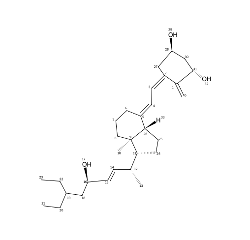 C=C1/C(=C\C=C2/CCC[C@]3(C)[C@@H]([C@H](C)/C=C/[C@H](O)CC(CC)CC)CC[C@@H]23)C[C@@H](O)C[C@@H]1O